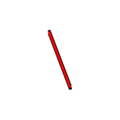 S=S=S=S=S=S=S=S=S=S=S=S=S=S=S=S=S=S=S=S=S=S=S=S=S=S=S=S=S=S=S=S=S=S=S=S=S=S=S=S=S=S=S=S=S=S=S=S=S=S=S=S=S=S=S=S=S=S=S=S=S=S=S=S=S=S=S=S=S=S=S=S=S=S=S=S=S=S=S=S=S=S=S=S=S=S=S=S=S=S=S=S=S=S=S=S=S=S=S=S=S=S=S=S=S=S=S=S=S=S=S=S